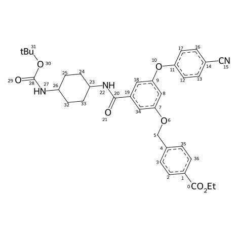 CCOC(=O)c1ccc(COc2cc(Oc3ccc(C#N)cc3)cc(C(=O)NC3CCC(NC(=O)OC(C)(C)C)CC3)c2)cc1